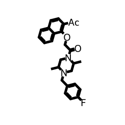 CC(=O)c1ccc2ccccc2c1OCC(=O)N1CC(C)N(Cc2ccc(F)cc2)CC1C